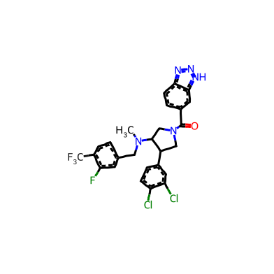 CN(Cc1ccc(C(F)(F)F)c(F)c1)C1CN(C(=O)c2ccc3nn[nH]c3c2)CC1c1ccc(Cl)c(Cl)c1